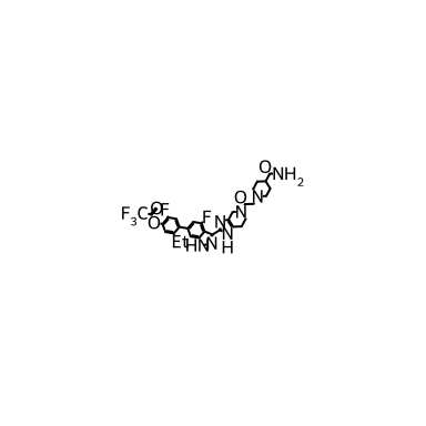 CCc1cc(OC(=O)C(F)(F)F)c(F)cc1-c1cc(F)c2c(-c3nc4c([nH]3)CCN(C(=O)CN3CCC(C(N)=O)CC3)C4)n[nH]c2c1